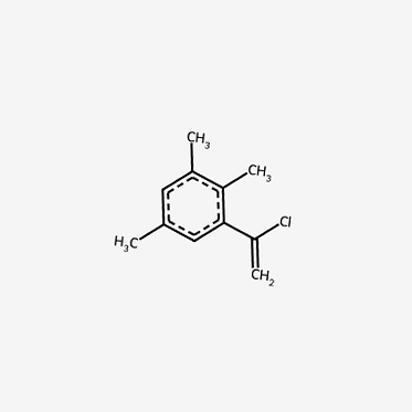 C=C(Cl)c1cc(C)cc(C)c1C